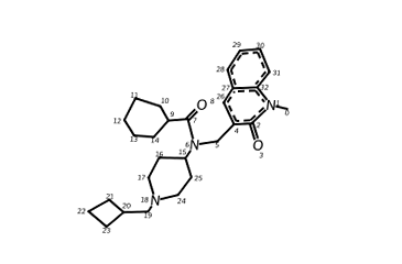 Cn1c(=O)c(CN(C(=O)C2CCCCC2)C2CCN(CC3CCC3)CC2)cc2ccccc21